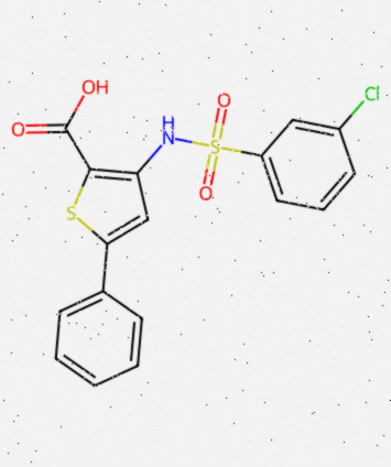 O=C(O)c1sc(-c2ccccc2)cc1NS(=O)(=O)c1cccc(Cl)c1